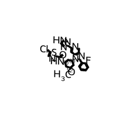 CO[C@H]1C[C@H](NC(=O)c2ncc(Cl)s2)C[C@H](n2c(-c3ccccc3F)nc3cnc(-c4nc[nH]n4)cc32)C1